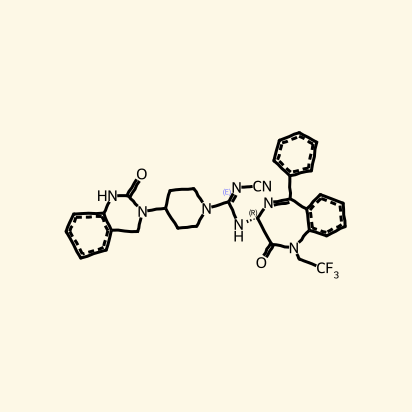 N#C/N=C(\N[C@@H]1N=C(c2ccccc2)c2ccccc2N(CC(F)(F)F)C1=O)N1CCC(N2Cc3ccccc3NC2=O)CC1